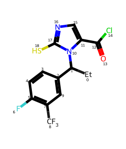 CCC(c1ccc(F)c(C(F)(F)F)c1)n1c(C(=O)Cl)cnc1S